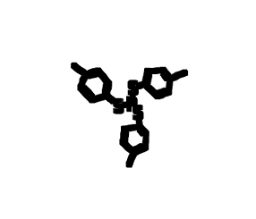 Cc1ccc(SP(Sc2ccc(C)cc2)Sc2ccc(C)cc2)cc1